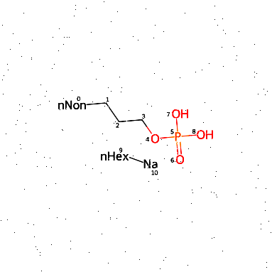 CCCCCCCCCCCCOP(=O)(O)O.CCCCC[CH2][Na]